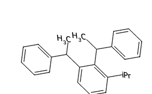 CC(C)c1cccc(C(C)c2ccccc2)c1C(C)c1ccccc1